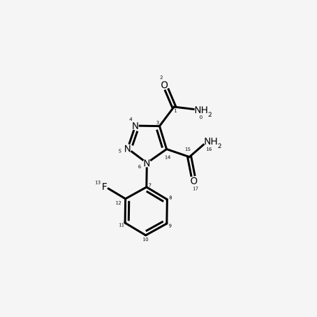 NC(=O)c1nnn(-c2ccccc2F)c1C(N)=O